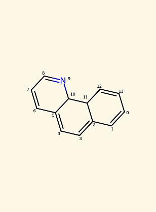 C1=CC2=CC=C3C=CC=NC3C2C=C1